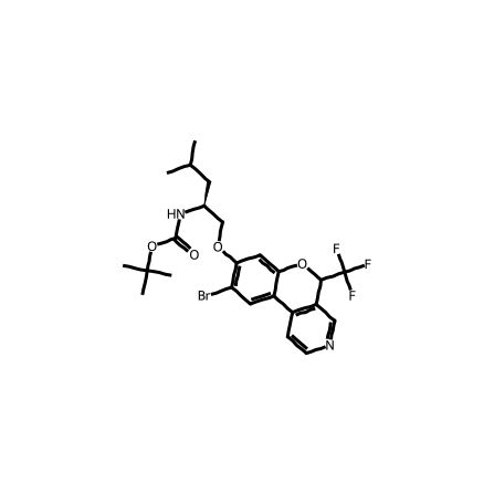 CC(C)C[C@@H](COc1cc2c(cc1Br)-c1ccncc1C(C(F)(F)F)O2)NC(=O)OC(C)(C)C